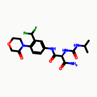 CC(C)NC(=O)N[C@@H](C(N)=O)C(=O)Nc1ccc(N2CCOCC2=O)c(C(F)F)c1